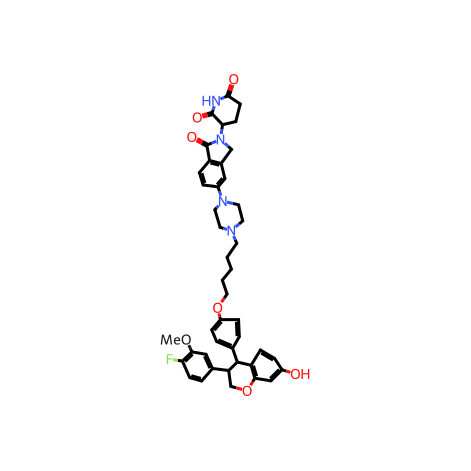 COc1cc(C2COc3cc(O)ccc3C2c2ccc(OCCCCCN3CCN(c4ccc5c(c4)CN(C4CCC(=O)NC4=O)C5=O)CC3)cc2)ccc1F